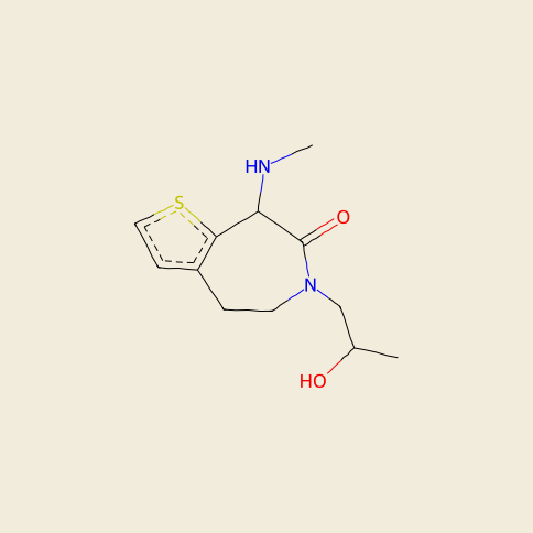 CNC1C(=O)N(CC(C)O)CCc2ccsc21